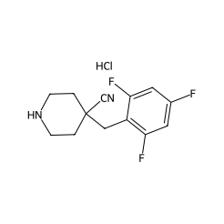 Cl.N#CC1(Cc2c(F)cc(F)cc2F)CCNCC1